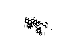 NC(=O)CCCCN(Cc1ccc(-c2ccccc2-c2nnn[nH]2)cc1)C(=O)[CH]Cc1ccc(O)cc1